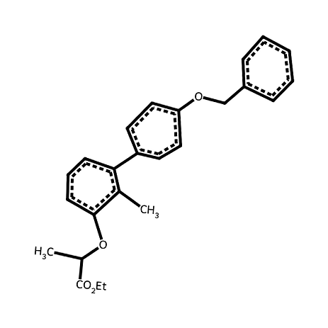 CCOC(=O)C(C)Oc1cccc(-c2ccc(OCc3ccccc3)cc2)c1C